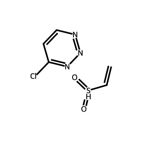 C=C[SH](=O)=O.Clc1ccnnn1